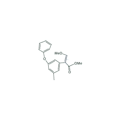 CO/C=C(/C(=O)OC)c1cc(C)cc(Oc2ccccc2)c1